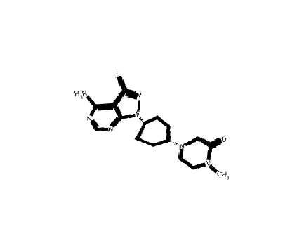 CN1CCN([C@H]2CC[C@@H](n3nc(I)c4c(N)ncnc43)CC2)CC1=O